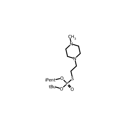 CCCC(C)OP(=O)(OC(C)(C)C)SCCN1CCN(C)CC1